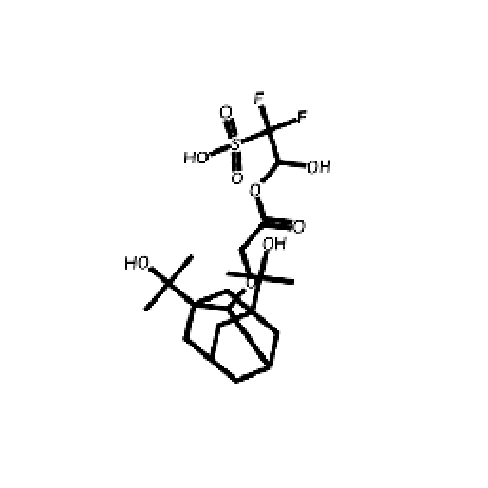 CC(C)(O)C12CC3CC(C1)C(OCC(=O)OC(O)C(F)(F)S(=O)(=O)O)C(C(C)(C)O)(C3)C2